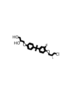 C[C@@H](CCl)COc1ccc(C(C)(C)c2ccc(OC[C@H](O)CO)cc2)cc1F